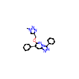 Cn1cc(COc2nn3c(-c4ccccc4)nnc3cc2-c2ccccc2)nn1